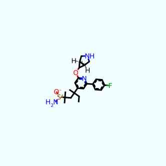 CCC(C)(CC(C)(C)[S+](N)[O-])c1cc(OC2[C@H]3CNC[C@@H]23)nc(-c2ccc(F)cc2)c1